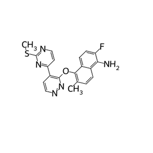 CSc1nccc(-c2ccnnc2Oc2c(C)ccc3c(N)c(F)ccc23)n1